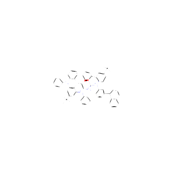 CC(C)(C)c1ccc(N(c2cccc(-c3cccc4ccccc34)c2)c2ccc3c(n2)N(c2ccccc2)c2cc(C(C)(C)C)cc4c2B3c2ccccc2N4c2ccccc2)c(-c2ccccc2)c1